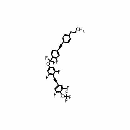 CCCc1ccc(C#Cc2ccc(C(F)(F)Oc3cc(F)c(C#Cc4cc(F)c(OC(F)(F)F)c(F)c4)c(F)c3)c(F)c2)cc1